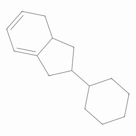 C1=CCC2CC(C3CCCCC3)CC2=C1